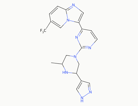 CC1CN(c2nccc(-c3cnc4ccc(C(F)(F)F)cn34)n2)CC(c2cn[nH]c2)N1